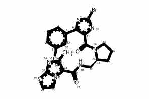 Cc1cccc(-c2sc(Br)nc2C(=O)N2CCC[C@H]2CNC(=O)c2c(C)nc3sccn23)c1